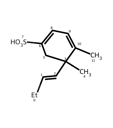 CCC=CC1(C)CC(S(=O)(=O)O)=CC=C1C